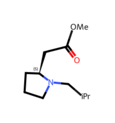 COC(=O)C[C@@H]1CCCN1CC(C)C